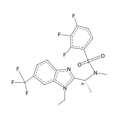 CCn1c([C@@H](C)N(C)S(=O)(=O)c2ccc(F)c(F)c2F)nc2ccc(C(F)(F)F)cc21